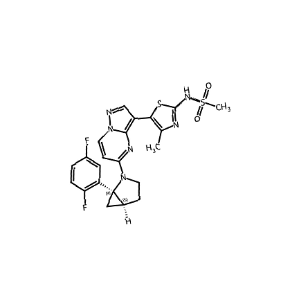 Cc1nc(NS(C)(=O)=O)sc1-c1cnn2ccc(N3CC[C@H]4C[C@]43c3cc(F)ccc3F)nc12